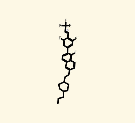 CCCC1CCC(CCc2ccc3c(F)c(-c4cc(F)c(/C=C/C(F)(F)F)c(F)c4)ccc3c2)CC1